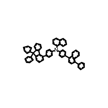 c1ccc(-c2ccc(-c3ccc(N(c4ccc(-c5cccc6c5-c5ccccc5C6(c5ccccc5)c5ccccc5)cc4)c4cccc5ccccc45)cc3)c3ccccc23)cc1